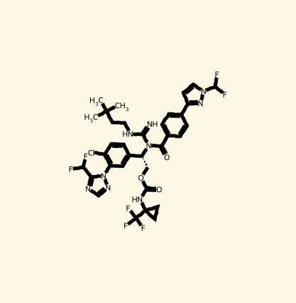 CC(C)(C)CCNC(=N)N(C(=O)c1ccc(-c2ccn(C(F)F)n2)cc1)[C@H](COC(=O)NC1(C(F)(F)F)CC1)c1ccc(Cl)c(-n2ncnc2C(F)F)c1